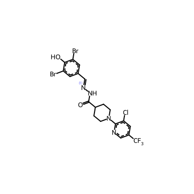 O=C(N/N=C/c1cc(Br)c(O)c(Br)c1)C1CCN(c2ncc(C(F)(F)F)cc2Cl)CC1